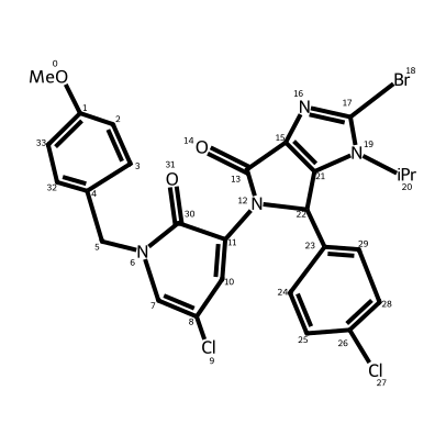 COc1ccc(Cn2cc(Cl)cc(N3C(=O)c4nc(Br)n(C(C)C)c4C3c3ccc(Cl)cc3)c2=O)cc1